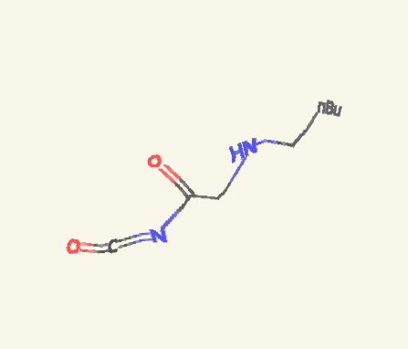 CCCCCNCC(=O)N=C=O